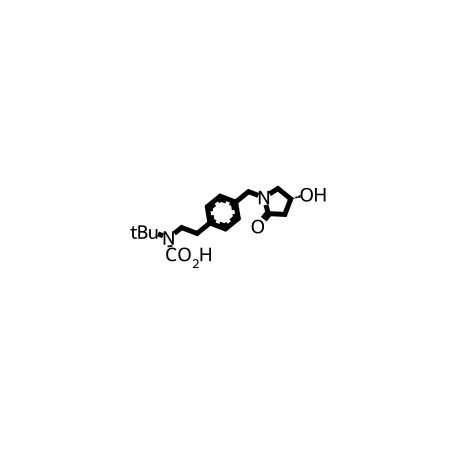 CC(C)(C)N(CCc1ccc(CN2C[C@H](O)CC2=O)cc1)C(=O)O